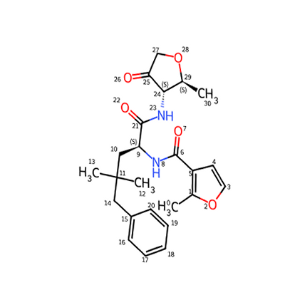 Cc1occc1C(=O)N[C@@H](CC(C)(C)Cc1ccccc1)C(=O)N[C@@H]1C(=O)CO[C@H]1C